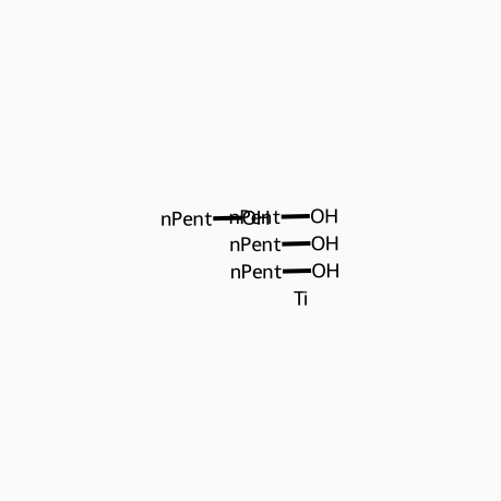 CCCCCO.CCCCCO.CCCCCO.CCCCCO.[Ti]